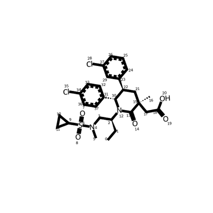 CC[C@@H](CN(C)S(=O)(=O)C1CC1)N1C(=O)[C@](C)(CC(=O)O)C[C@H](c2cccc(Cl)c2)[C@H]1c1ccc(Cl)cc1